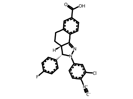 [C-]#[N+]c1ccc(N2N=C3c4ccc(C(=O)O)cc4CC[C@H]3[C@H]2c2ccc(F)cc2)cc1Cl